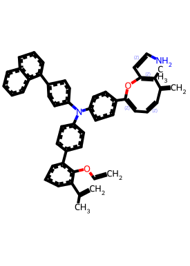 C=COc1c(C(=C)C)cccc1-c1ccc(N(c2ccc(/C3=C/C=C\C(=C)/C(C)=C(/C=C\N)O3)cc2)c2ccc(-c3cccc4ccccc34)cc2)cc1